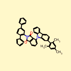 Cc1cc(C)c(-c2ccc3c4ccccc4n(-c4cccc5c4C(=O)N(c4cc(-c6ccccc6)ccc4-c4ccccc4)C5=O)c3c2)c(C)c1